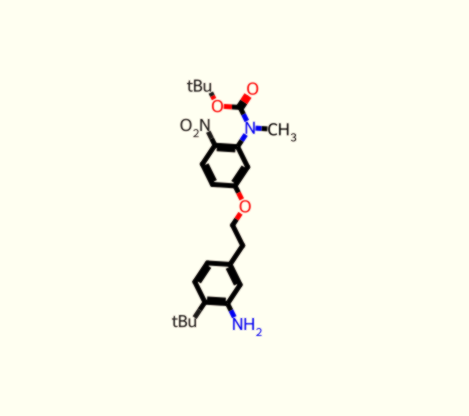 CN(C(=O)OC(C)(C)C)c1cc(OCCc2ccc(C(C)(C)C)c(N)c2)ccc1[N+](=O)[O-]